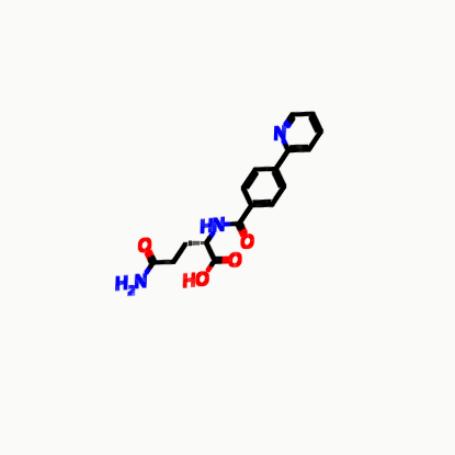 NC(=O)CC[C@H](NC(=O)c1ccc(-c2ccccn2)cc1)C(=O)O